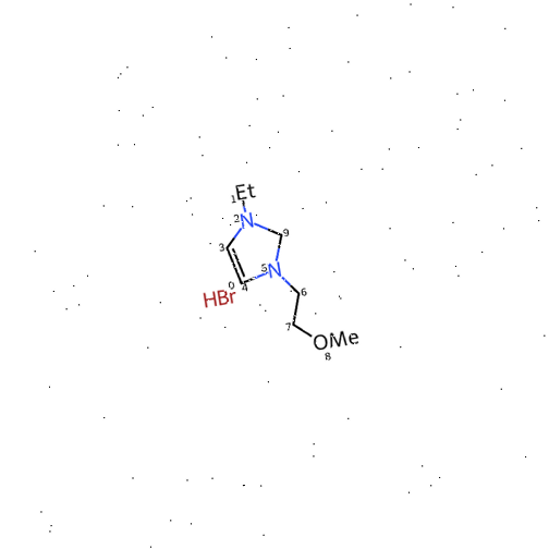 Br.CCN1C=CN(CCOC)C1